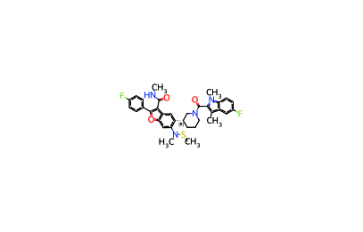 CNC(=O)c1c(-c2ccc(F)cc2)oc2cc(N(C)SC)c([C@H]3CCCN(C(=O)c4c(C)c5cc(F)ccc5n4C)C3)cc12